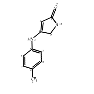 O=C1C=C(Nc2ccc(C(F)(F)F)cc2)CS1